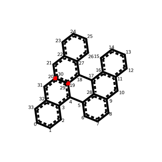 c1ccc2c(-c3cccc4cc5ccccc5c(-c5cccc6ccccc56)c34)cccc2c1